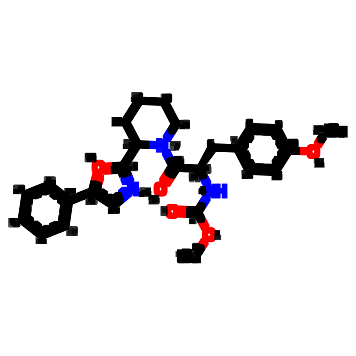 CC(C)(C)OC(=O)N[C@H](Cc1ccc(OC(C)(C)C)cc1)C(=O)N1CCCCC1c1ncc(-c2ccccc2)o1